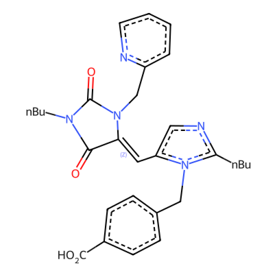 CCCCc1ncc(/C=C2/C(=O)N(CCCC)C(=O)N2Cc2ccccn2)n1Cc1ccc(C(=O)O)cc1